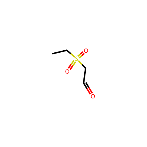 CCS(=O)(=O)C[C]=O